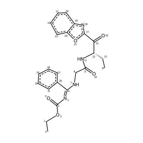 CCOC(=O)/N=C(/NCC(=O)N[C@@H](CC)C(=O)c1nc2ccccc2o1)c1ccccc1